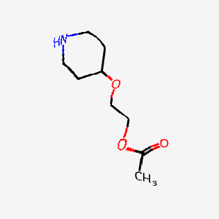 CC(=O)OCCOC1CCNCC1